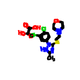 CC1=NC(SCCN2CCOCC2)N(c2ccc(Cl)c(Cl)c2)N1.O=C(O)C(=O)O